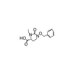 CCN1C(=O)N(OCc2ccccc2)CC[C@H]1C(=O)O